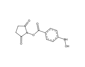 O=C(ON1C(=O)CCC1=O)c1ccc(BO)cc1